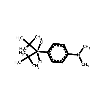 CN(C)c1ccc(P(Cl)(Cl)(C(C)(C)C)C(C)(C)C)cc1